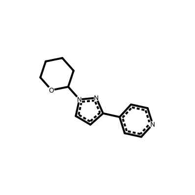 c1cc(-c2ccn(C3CCCCO3)n2)ccn1